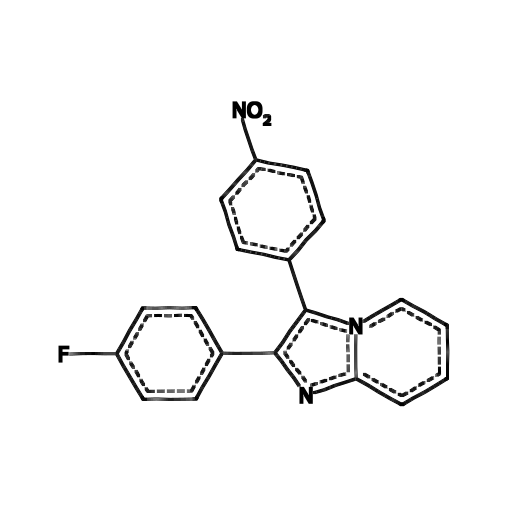 O=[N+]([O-])c1ccc(-c2c(-c3ccc(F)cc3)nc3ccccn23)cc1